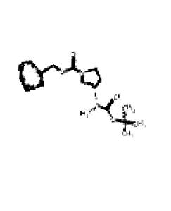 CN(C(=O)OC(C)(C)C)[C@H]1CCN(C(=O)OCc2ccccc2)C1